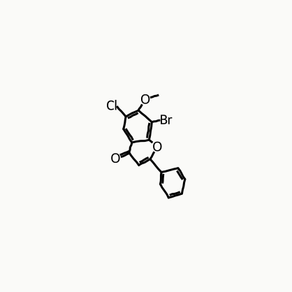 COc1c(Cl)cc2c(=O)cc(-c3ccccc3)oc2c1Br